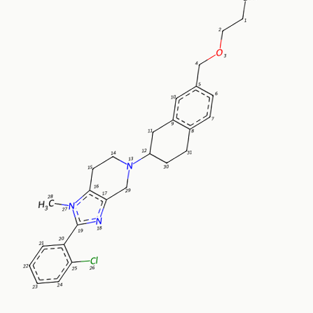 COCCOCc1ccc2c(c1)CC(N1CCc3c(nc(-c4ccccc4Cl)n3C)C1)CC2